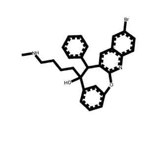 CNCCCCC1(O)c2cccc(c2)Oc2nc3ccc(Br)cc3cc2C1c1ccccc1